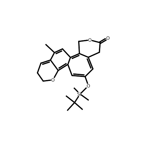 Cc1cc2c(c3c1=CCCO3)C=C(O[Si](C)(C)C(C)(C)C)C=C1CC(=O)OCC=21